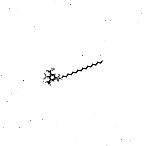 CCCCCCCCCCCCCCCCCCS(=O)(=O)c1cc(C(=O)O)c([N+](=O)[O-])c(C(=O)O)c1